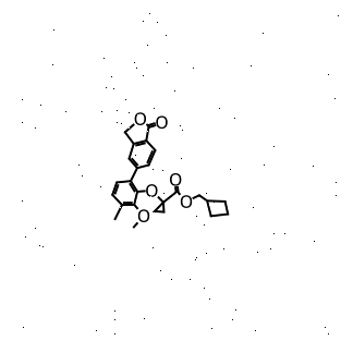 COc1c(C)ccc(-c2ccc3c(c2)COC3=O)c1OC1(C(=O)OCC2CCC2)CC1